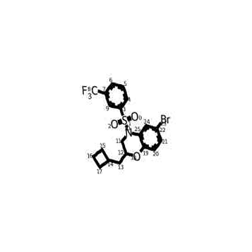 O=S(=O)(c1cccc(C(F)(F)F)c1)N1CC(CC2CCC2)Oc2ccc(Br)cc21